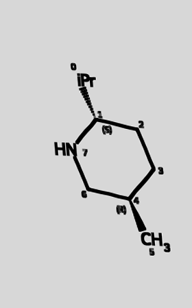 CC(C)[C@@H]1CC[C@@H](C)CN1